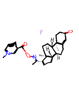 CC(=NOC(=O)c1ccc[n+](C)c1)[C@H]1CC[C@H]2[C@@H]3CCC4=CC(=O)CC[C@]4(C)[C@H]3CC[C@]12C.[I-]